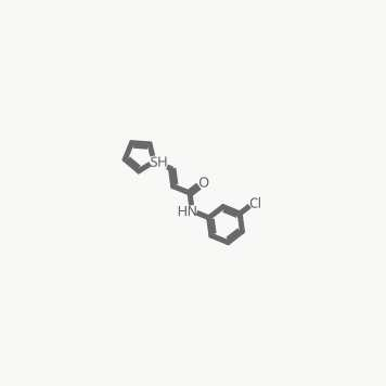 O=C(C=C[SH]1C=CC=C1)Nc1cccc(Cl)c1